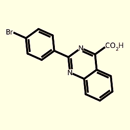 O=C(O)c1nc(-c2ccc(Br)cc2)nc2ccccc12